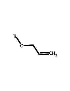 C=CC[O][Ti]